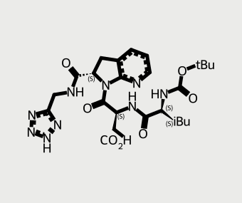 CC[C@H](C)[C@H](NC(=O)OC(C)(C)C)C(=O)N[C@@H](CC(=O)O)C(=O)N1c2ncccc2C[C@H]1C(=O)NCc1nn[nH]n1